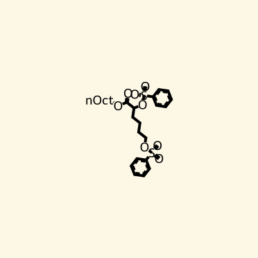 CCCCCCCCOC(=O)C(CCCCOS(=O)(=O)c1ccccc1)OS(=O)(=O)c1ccccc1